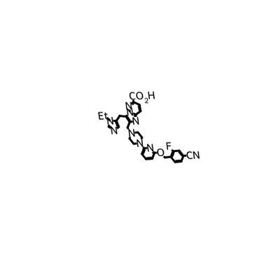 CCn1cncc1Cc1c(CN2CCN(c3cccc(OCc4ccc(C#N)cc4F)n3)CC2)nc2ccc(C(=O)O)nn12